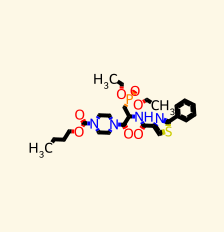 CCCCOC(=O)N1CCN(C(=O)C(CP(=O)(OCC)OCC)NC(=O)c2csc(-c3ccccc3)n2)CC1